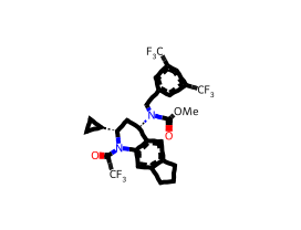 COC(=O)N(Cc1cc(C(F)(F)F)cc(C(F)(F)F)c1)[C@H]1C[C@@H](C2CC2)N(C(=O)C(F)(F)F)c2cc3c(cc21)CCC3